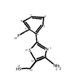 Nc1nc(-c2ccccc2F)sc1CS